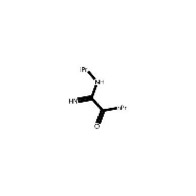 CCCC(=O)C(=N)NC(C)C